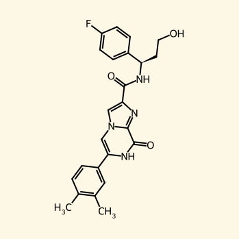 Cc1ccc(-c2cn3cc(C(=O)N[C@H](CCO)c4ccc(F)cc4)nc3c(=O)[nH]2)cc1C